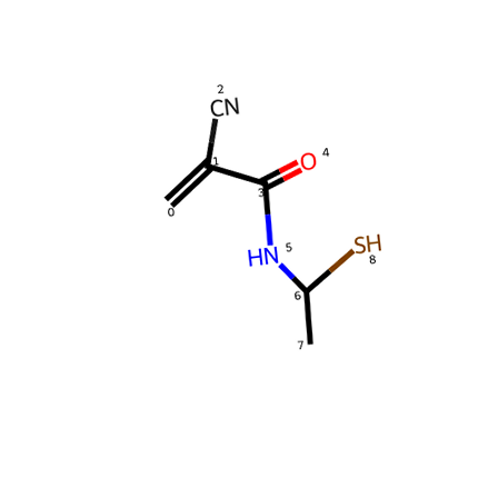 C=C(C#N)C(=O)NC(C)S